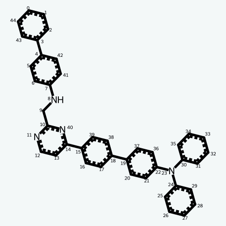 c1ccc(-c2ccc(NCc3nccc(-c4ccc(-c5ccc(N(c6ccccc6)c6ccccc6)cc5)cc4)n3)cc2)cc1